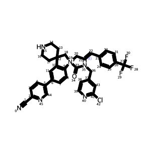 N#Cc1ccc(-c2ccc3c(c2)C2(CCNCC2)C[N+]3(C/C=C/c2ccc(C(F)(F)F)cc2)C(=O)NCc2ccnc(Cl)c2)cn1